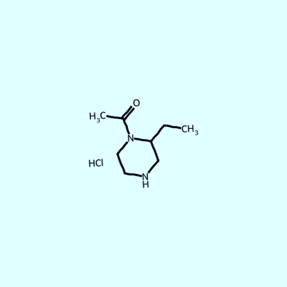 CCC1CNCCN1C(C)=O.Cl